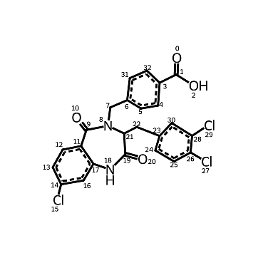 O=C(O)c1ccc(CN2C(=O)c3ccc(Cl)cc3NC(=O)C2Cc2ccc(Cl)c(Cl)c2)cc1